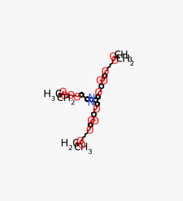 C=C(C)C(=O)OCCCCCCOc1ccc(OC(=O)C2CCC(COc3ccc4c5ccc(OCC6CCC(C(=O)Oc7ccc(OCCCCCCOC(=O)C(=C)C)cc7)CC6)cc5c5nc6cc(-c7cccc(OCCOCCOC(=O)C(=C)C)c7)ccc6nc5c4c3)CC2)cc1